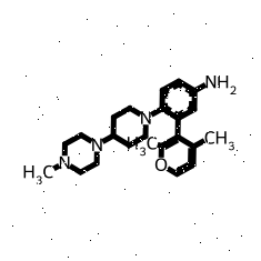 CC1=C=COC(C)=C1c1cc(N)ccc1N1CCC(N2CCN(C)CC2)CC1